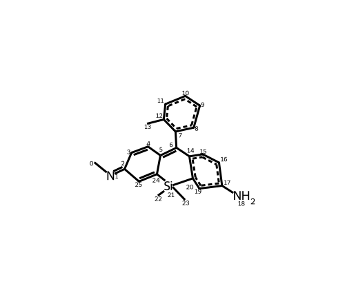 C/N=C1\C=CC2=C(c3ccccc3C)c3ccc(N)cc3[Si](C)(C)C2=C1